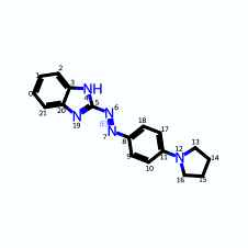 c1ccc2[nH]c(/N=N/c3ccc(N4CCCC4)cc3)nc2c1